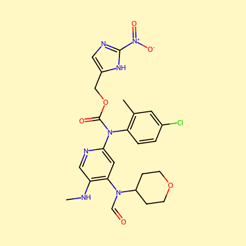 CNc1cnc(N(C(=O)OCc2cnc([N+](=O)[O-])[nH]2)c2ccc(Cl)cc2C)cc1N(C=O)C1CCOCC1